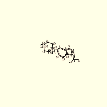 CC(C)n1ncc2cc([C@H]3CC[C@H](C)CN3)ccc21